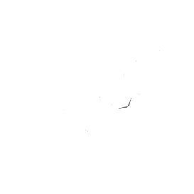 CC(C)(C)CC(=O)N[C@@H](C[C@@H]1CC2(CC2)NC1=O)C(N)=O